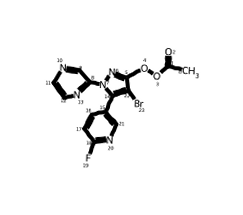 CC(=O)OOc1nn(-c2cnccn2)c(-c2ccc(F)nc2)c1Br